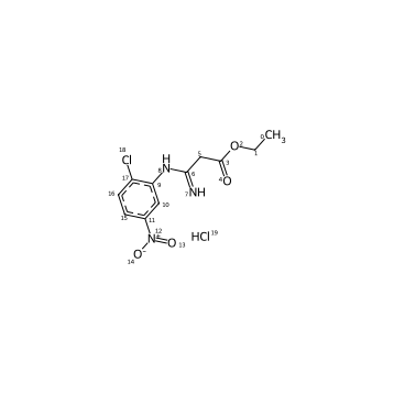 CCOC(=O)CC(=N)Nc1cc([N+](=O)[O-])ccc1Cl.Cl